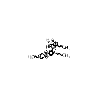 CCCCOc1ccc(S(=O)(=O)N2CCN(CCO)CC2)cc1-c1nc2c(CCC)nn(C)c2c(=S)[nH]1